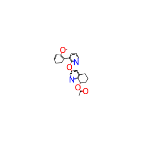 COC1=C(c2cccnc2Oc2cnc3c(c2)CCCC3OC(C)=O)CCC=C1